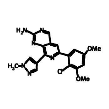 COc1cc(OC)c(Cl)c(-c2cc3cnc(N)nc3c(-c3cnn(C)c3)n2)c1